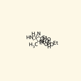 CC(N)C1(C(C)N)CNC1.CCO[SiH](OCC)OCC